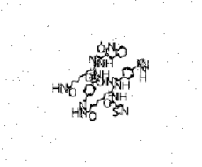 CNC(=O)CCCCC[C@H](NC(=O)c1cncs1)c1ncc(-c2ccc(-c3ccn[nH]3)cc2)[nH]1.CNC(=O)CCCCC[C@H](NS(=O)(=O)c1ccc(C#N)cc1)c1ncc(-c2cc3ccccc3nc2OC)[nH]1